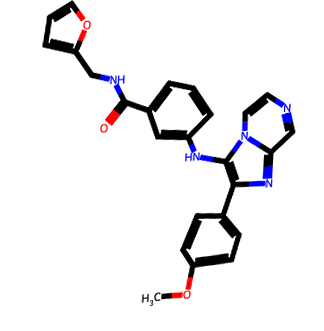 COc1ccc(-c2nc3cnccn3c2Nc2cccc(C(=O)NCc3ccco3)c2)cc1